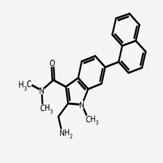 CN(C)C(=O)c1c(CN)n(C)c2cc(-c3cccc4ccccc34)ccc12